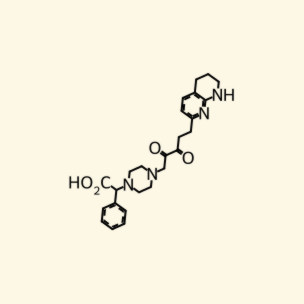 O=C(CCc1ccc2c(n1)NCCC2)C(=O)CN1CCN(C(C(=O)O)c2ccccc2)CC1